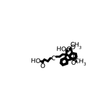 COC(=O)c1ccccc1C(CCCCCCCC(=O)O)(C(=O)O)c1ccccc1C(=O)OC